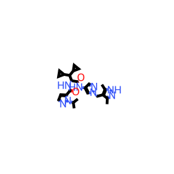 Cc1n[nH]c(C)c1Cn1cc(NC(=O)C(NC(=O)c2ccnn2C(C)C)C(C2CC2)C2CC2)cn1